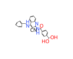 N#Cc1c(NC(=O)c2ccc(C(O)O)cc2)nc2ccccc2c1NCc1ccccc1